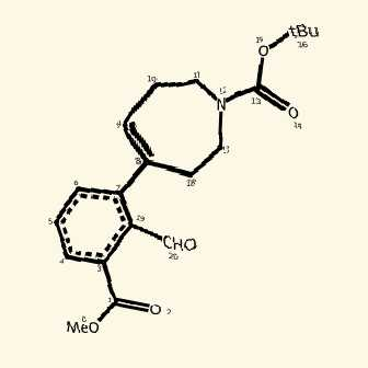 COC(=O)c1cccc(C2=CCCN(C(=O)OC(C)(C)C)CC2)c1C=O